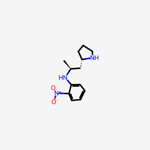 C[C@@H](C[C@@H]1CCCN1)Nc1ccccc1[N+](=O)[O-]